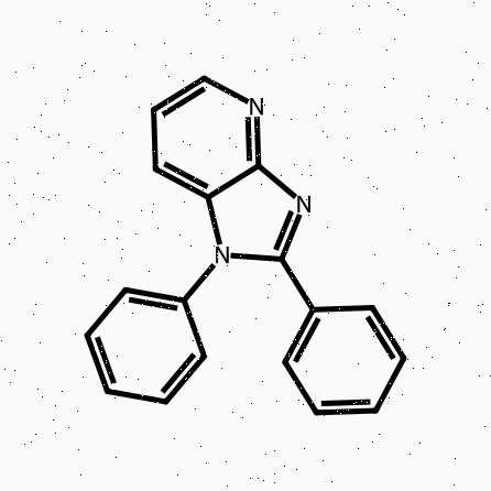 c1ccc(-c2nc3ncccc3n2-c2ccccc2)cc1